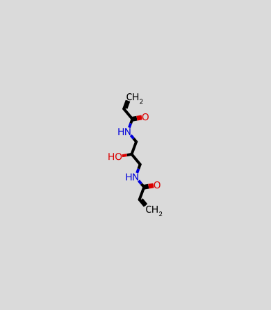 C=CC(=O)NCC(O)CNC(=O)C=C